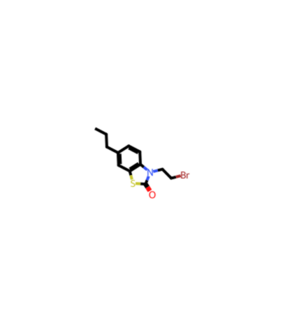 CCCc1ccc2c(c1)sc(=O)n2CCBr